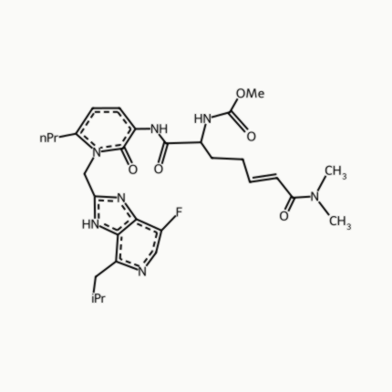 CCCc1ccc(NC(=O)C(CCC=CC(=O)N(C)C)NC(=O)OC)c(=O)n1Cc1nc2c(F)cnc(CC(C)C)c2[nH]1